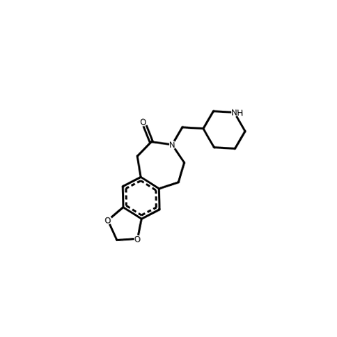 O=C1Cc2cc3c(cc2CCN1CC1CCCNC1)OCO3